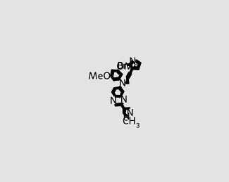 COc1cc(OC)cc(N(CC#Cc2cccnc2Br)c2ccc3ncc(-c4cnn(C)c4)nc3c2)c1